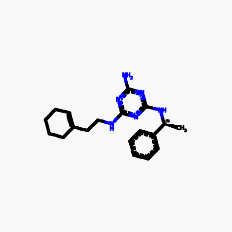 C[C@H](Nc1nc(N)nc(NCCC2=CCCCC2)n1)c1ccccc1